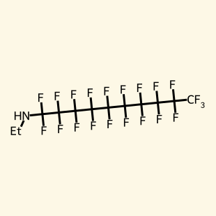 CCNC(F)(F)C(F)(F)C(F)(F)C(F)(F)C(F)(F)C(F)(F)C(F)(F)C(F)(F)C(F)(F)C(F)(F)F